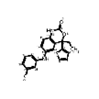 CCC1(c2cccs2)OC(=O)Nc2ccc(Nc3cccc(Cl)c3)cc21